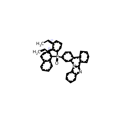 C=C/C=c1/c(P(=O)(c2ccc3c4ccccc4c4nc5ccccc5n4c3c2)c2cccc3ccccc23)ccc/c1=C/C